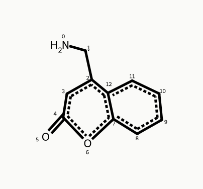 N[CH]c1cc(=O)oc2ccccc12